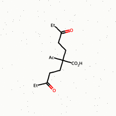 CCC(=O)CCC(CCC(=O)CC)(C(C)=O)C(=O)O